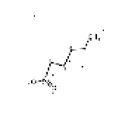 CCC[CH]C[N+](=O)[O-]